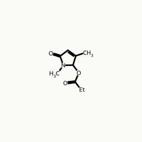 CCC(=O)OC1C(C)=CC(=O)N1C